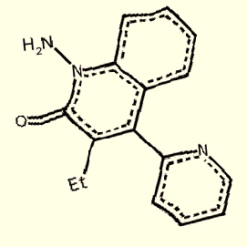 CCc1c(-c2ccccn2)c2ccccc2n(N)c1=O